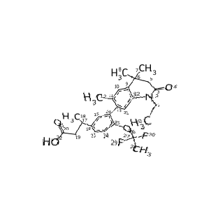 CCN1C(=O)CC(C)(C)c2cc(C)c(-c3cc(C(C)CC(=O)O)ccc3OC(C)(F)F)cc21